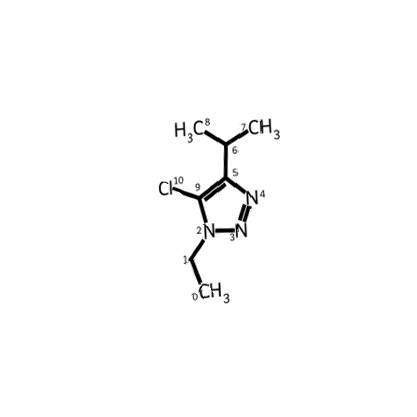 CCn1nnc(C(C)C)c1Cl